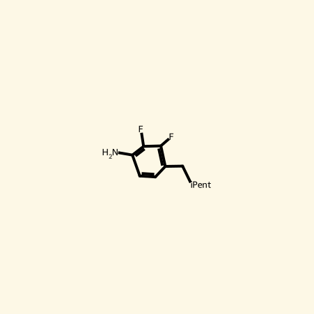 CCCC(C)Cc1ccc(N)c(F)c1F